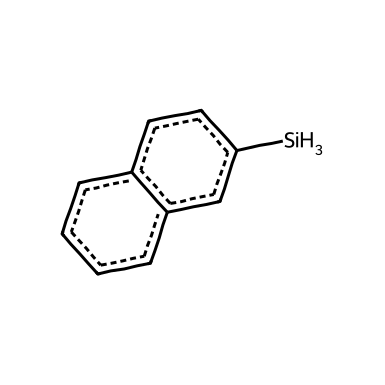 [SiH3]c1ccc2ccccc2c1